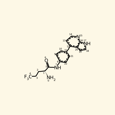 N[C@H](CCC(F)(F)F)C(=O)Nc1ccc(-c2ccnc3[nH]ccc23)cc1